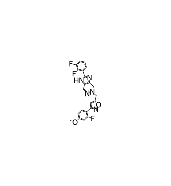 COc1ccc(-c2cc(CN3Cc4nc(-c5cccc(F)c5F)[nH]c4C=N3)on2)c(F)c1